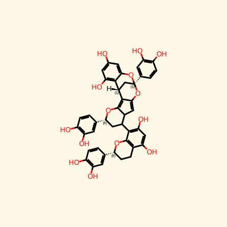 Oc1cc(O)c2c(c1)O[C@]1(c3ccc(O)c(O)c3)C[C@@H]2C2=C3O[C@@H](c4ccc(O)c(O)c4)CC(c4c(O)cc(O)c5c4O[C@@H](c4ccc(O)c(O)c4)CC5)C3C=C2O1